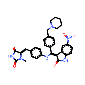 CN1C(=O)NC(=O)/C1=C/c1ccc(N/C(=C2\C(=O)Nc3ccc([N+](=O)[O-])cc32)c2ccc(CN3CCCCC3)cc2)cc1